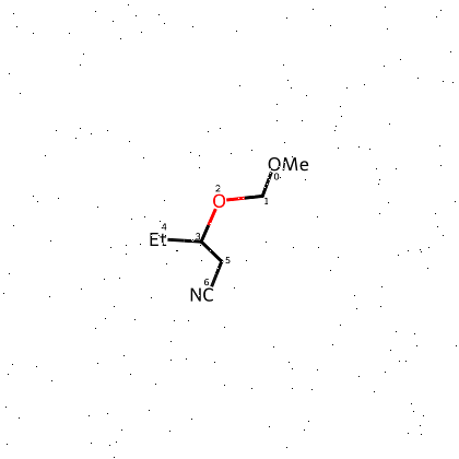 [CH2]OCOC(CC)CC#N